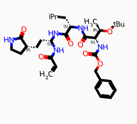 C=CC(=O)N[C@H](CC[C@@H]1CCNC1=O)NC(=O)[C@H](CC(C)C)NC(=O)[C@@H](NC(=O)OCc1ccccc1)[C@@H](C)OC(C)(C)C